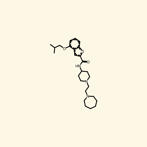 CC(C)COc1cccc2sc(C(=O)NC3CCN(CCN4CCCCCC4)CC3)cc12